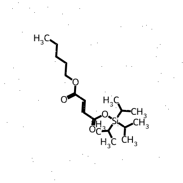 CCCCCOC(=O)/C=C/C(=O)O[Si](C(C)C)(C(C)C)C(C)C